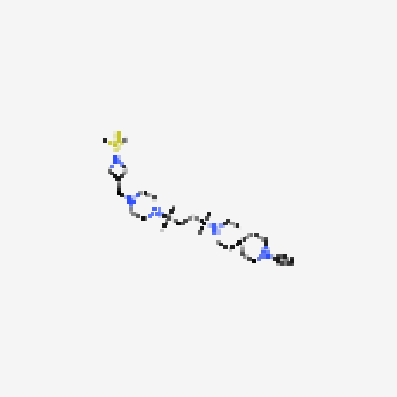 C[SH](C)N1CC(CN2CCN(C(C)(C)CCC(C)(C)N3CCC4(CCN(C(C)(C)C)CC4)CC3)CC2)C1